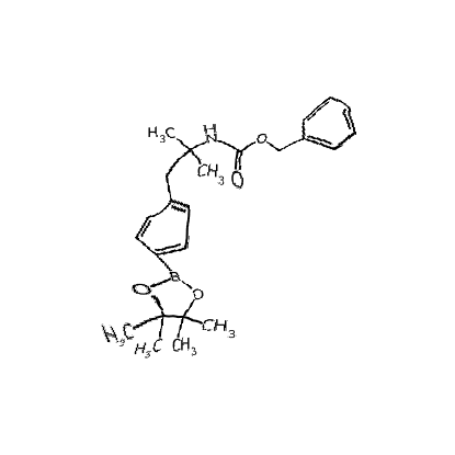 CC(C)(Cc1ccc(B2OC(C)(C)C(C)(C)O2)cc1)NC(=O)OCc1ccccc1